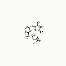 O=C1NC(=O)C(=Cc2ccc3nccc(-c4ccc(C(=O)O)s4)c3c2)S1